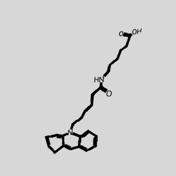 O=C(O)CCCCCNC(=O)CCCCCN1C2=CC=CCC2=Cc2ccccc21